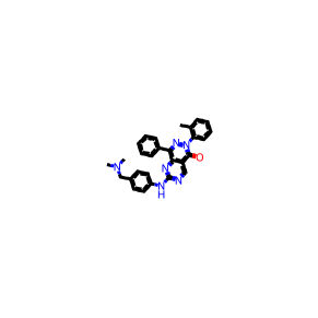 Cc1ccccc1-n1nc(-c2ccccc2)c2nc(Nc3ccc(CN(C)C)cc3)ncc2c1=O